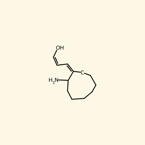 NC1CCCCCCC/C1=C/C=C\O